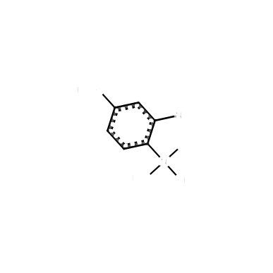 C[N+](C)(C)c1ccc(C(=O)O)cc1N